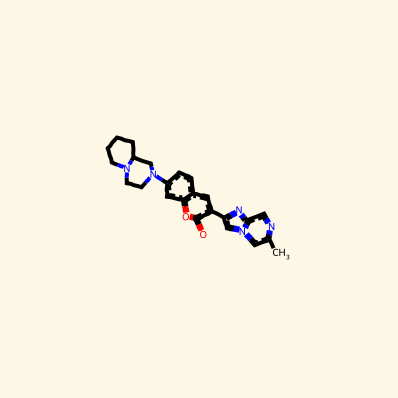 Cc1cn2cc(-c3cc4ccc(N5CCN6CCCCC6C5)cc4oc3=O)nc2cn1